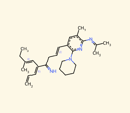 C=C/C=C(\C=C(/C)CC)C(=N)C/C=C/c1cc(C)c(N=C(C)C)nc1N1CCCCC1